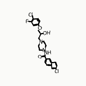 O=C(NN1CCN(CC(O)COc2ccc(Cl)c(F)c2)CC1)c1ccc2cc(Cl)ccc2c1